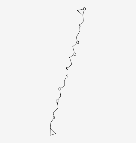 C(CSCC1CC1)OCOCCSSCCOCOCCSCC1CO1